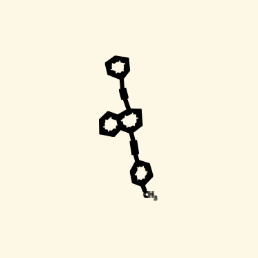 Cc1ccc(C#Cc2ccc(C#Cc3ccccc3)c3ccccc23)cc1